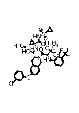 C=C[C@@H]1C[C@]1(NC(O)[C@H]1Cc2cc(Oc3cccc(Cl)c3)ccc2CN1C(=O)[C@@H](Nc1cccc(C(F)(F)F)c1)C(C)(C)C)C(=O)NS(=O)(=O)C1CC1